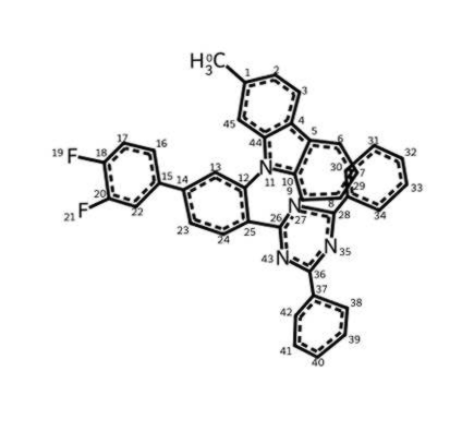 Cc1ccc2c3ccccc3n(-c3cc(-c4ccc(F)c(F)c4)ccc3-c3nc(-c4ccccc4)nc(-c4ccccc4)n3)c2c1